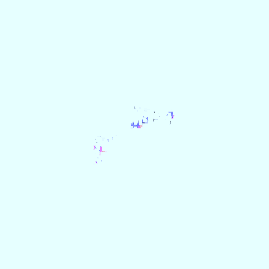 COc1cc(-c2cc(C)c(=O)n(C)c2)cc(OC)c1CN1CC(C(=O)NCCCCCCCCNc2cccc3c2C(=O)N(C2CCC(=O)NC2=O)C3=O)C1